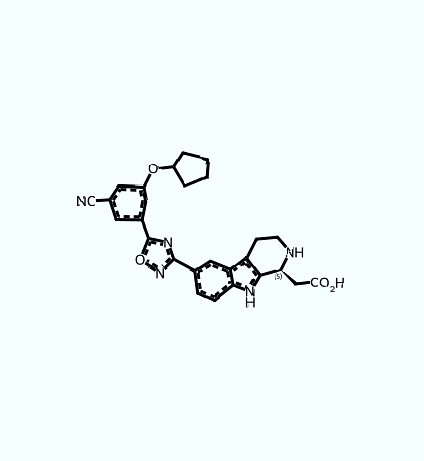 N#Cc1cc(OC2CCCC2)cc(-c2nc(-c3ccc4[nH]c5c(c4c3)CCN[C@H]5CC(=O)O)no2)c1